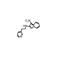 O=[N+]([O-])c1c(NCCc2cccnc2)nn2ccccc12